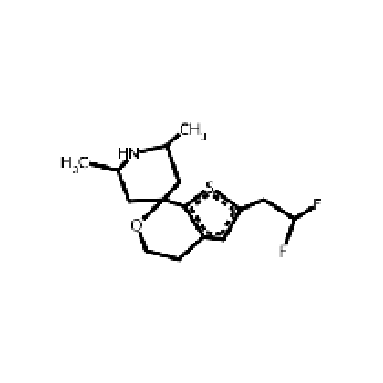 CC1CC2(CC(C)N1)OCCc1cc(CC(F)F)sc12